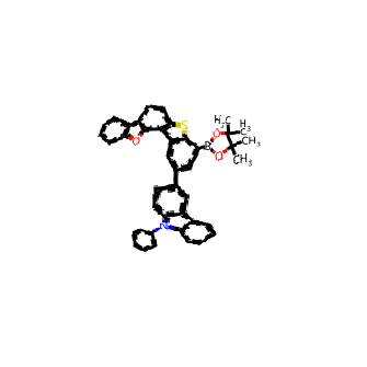 CC1(C)OB(c2cc(-c3ccc4c(c3)c3ccccc3n4-c3ccccc3)cc3c2sc2ccc4c5ccccc5oc4c23)OC1(C)C